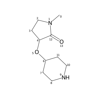 CN1CCC(OC2CCNCC2)C1=O